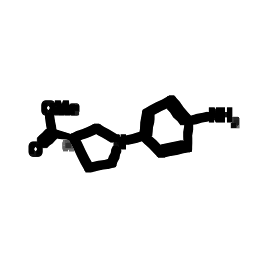 COC(=O)[C@@H]1CCN(c2ccc(N)cc2)C1